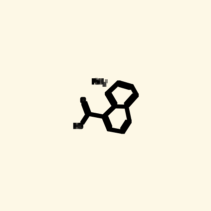 O=C(O)c1cccc2ccccc12.[PbH2]